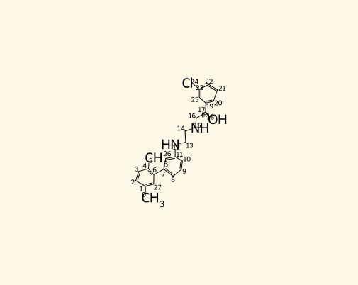 Cc1ccc(C)c(-c2cccc(NCCNC[C@H](O)c3cccc(Cl)c3)c2)c1